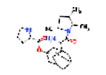 CC1[C@@H](C)C[C@@H](C#N)N1C(=O)[C@@H](N)C12CC3CC(CC(OC(=O)[C@@H]4CCCN4)(C3)C1)C2